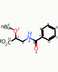 CCCCOC(CNC(=O)c1ccccc1)C(=O)O